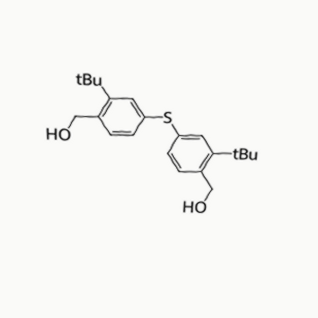 CC(C)(C)c1cc(Sc2ccc(CO)c(C(C)(C)C)c2)ccc1CO